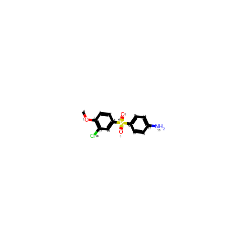 COc1ccc(S(=O)(=O)c2ccc(N)cc2)cc1Cl